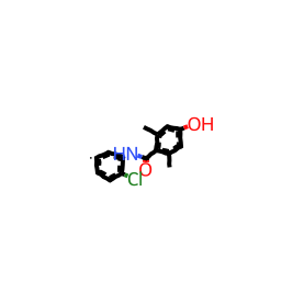 Cc1cc(O)cc(C)c1C(=O)Nc1c[c]ccc1Cl